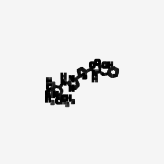 CC1(C)CC(Nc2nccc(-c3ccc(C(=O)N[C@H](Cc4ccccc4)C(=O)O)s3)n2)CC(C)(C)N1